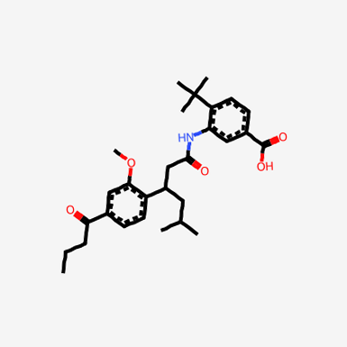 CCCC(=O)c1ccc(C(CC(=O)Nc2cc(C(=O)O)ccc2C(C)(C)C)CC(C)C)c(OC)c1